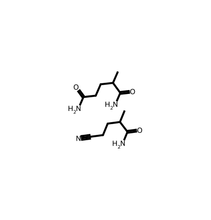 CC(CCC#N)C(N)=O.CC(CCC(N)=O)C(N)=O